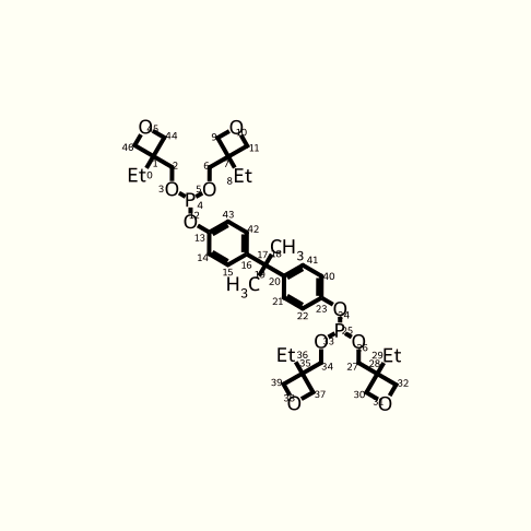 CCC1(COP(OCC2(CC)COC2)Oc2ccc(C(C)(C)c3ccc(OP(OCC4(CC)COC4)OCC4(CC)COC4)cc3)cc2)COC1